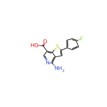 Nc1ncc(C(=O)O)c2sc(-c3ccc(F)cc3)cc12